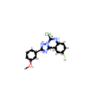 COc1cccc(-c2nc3c4cc(F)ccc4nc(Cl)n3n2)c1